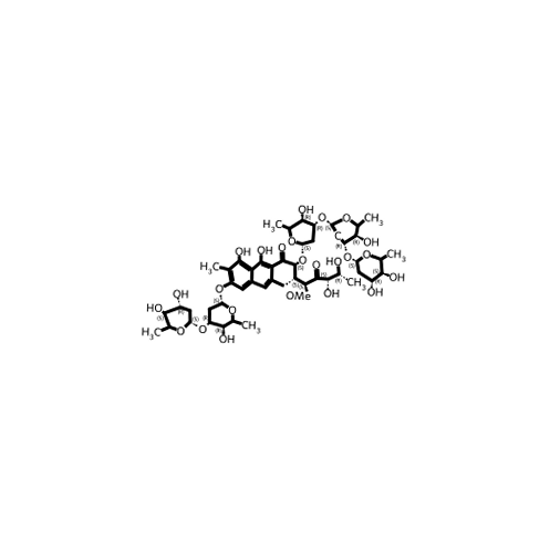 CO[C@H](C(=O)[C@@H](O)[C@@H](C)O)[C@@H]1Cc2cc3cc(O[C@H]4C[C@@H](O[C@H]5C[C@@H](O)[C@H](O)C(C)O5)[C@H](O)C(C)O4)c(C)c(O)c3c(O)c2C(=O)[C@H]1O[C@H]1C[C@@H](O[C@H]2C[C@@H](O[C@H]3C[C@@H](O)[C@H](O)C(C)O3)[C@H](O)C(C)O2)[C@H](O)C(C)O1